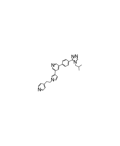 CC(C)Cn1cnnc1-c1ccc(-c2cncc(-c3ccn(CCc4ccncc4)c3)c2)cc1